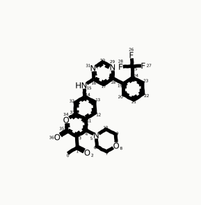 CC(=O)c1c(N2CCOCC2)c2ccc(Nc3cc(-c4ccccc4C(F)(F)F)ncn3)cc2oc1=O